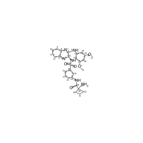 COc1cc(Nc2nc3ccccc3nc2NS(=O)(=O)c2cccc(NC(=O)C3(N)CCC3)c2)cc(OC)c1